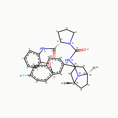 COc1ccccc1NC(=O)[C@@H]1CCCN1C(=O)NC1C[C@H]2CC[C@H](C1)N2Cc1ccc2cc(F)ccc2c1